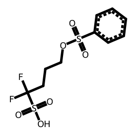 O=S(=O)(OCCCC(F)(F)S(=O)(=O)O)c1ccccc1